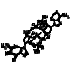 CC(C)(C)[Si](C)(C)O[C@@H]1[C@H]2COP(=O)(O)O[C@@H]3[C@@H](COP(=O)(O)O[C@H]1[C@H](n1cnc4c(=O)[nH]c(N)nc41)C2)C[C@@H](n1cnc2c(N)ncnc21)[C@@H]3O[Si](C)(C)C(C)(C)C